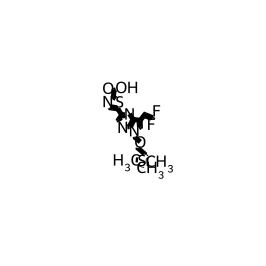 C[Si](C)(C)CCOCn1cc(C=C(F)F)c2nc(-c3cnc(C(=O)O)s3)cnc21